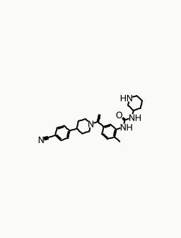 C=C(c1ccc(C)c(NC(=O)NC2CCCNC2)c1)N1CCC(c2ccc(C#N)cc2)CC1